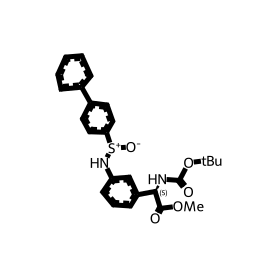 COC(=O)[C@@H](NC(=O)OC(C)(C)C)c1cccc(N[S+]([O-])c2ccc(-c3ccccc3)cc2)c1